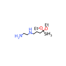 CCOC([SiH3])(CCCNCCN)OCC